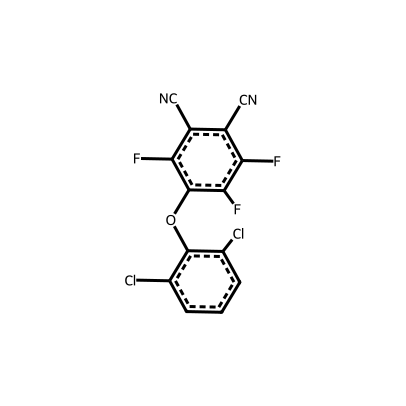 N#Cc1c(F)c(F)c(Oc2c(Cl)cccc2Cl)c(F)c1C#N